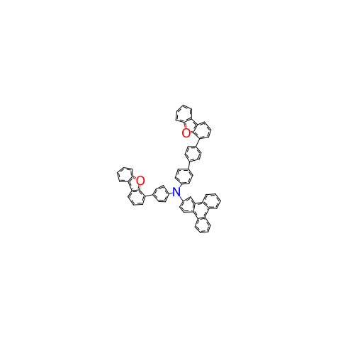 c1ccc2c(c1)oc1c(-c3ccc(-c4ccc(N(c5ccc(-c6cccc7c6oc6ccccc67)cc5)c5ccc6c7ccccc7c7ccccc7c6c5)cc4)cc3)cccc12